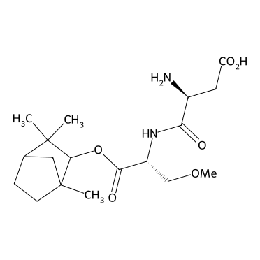 COC[C@@H](NC(=O)[C@@H](N)CC(=O)O)C(=O)OC1C2(C)CCC(C2)C1(C)C